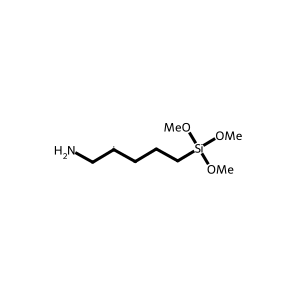 CO[Si](CCC[CH]CN)(OC)OC